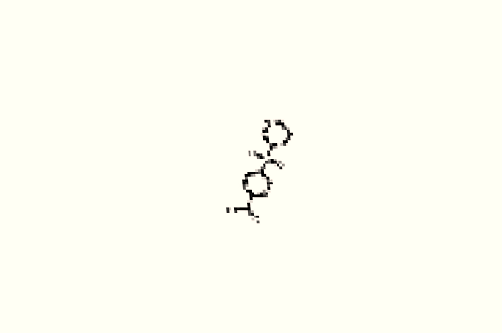 O=C(O)c1ccc(S(=O)(=O)c2cncnc2)cc1